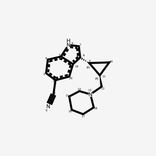 N#Cc1ccc2[nH]cc([C@@H]3C[C@H]3CN3CCCCC3)c2c1